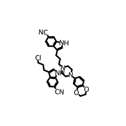 N#Cc1ccc2c(CCCCl)c[nH]c2c1.N#Cc1ccc2c(CCCN3CCN(c4ccc5c(c4)OCCO5)CC3)c[nH]c2c1